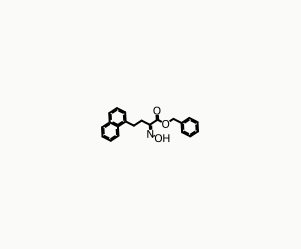 O=C(OCc1ccccc1)C(CCc1cccc2ccccc12)=NO